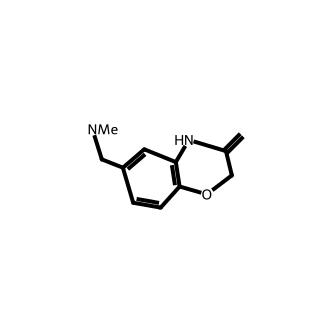 C=C1COc2ccc(CNC)cc2N1